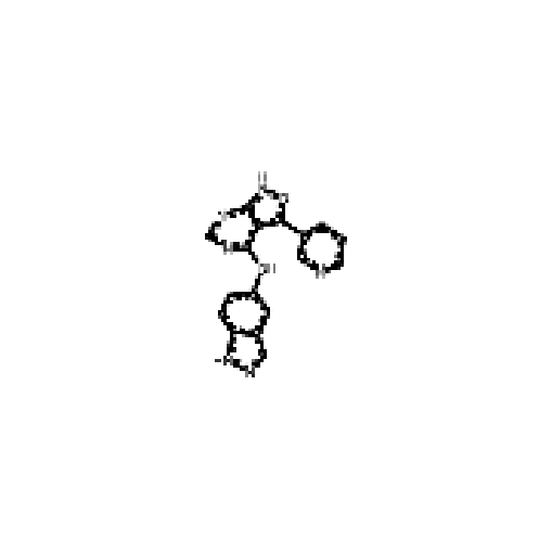 c1cncc(-c2n[nH]c3ncnc(Nc4ccc5[nH]ncc5c4)c23)c1